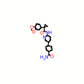 NC(=O)c1ccc(-c2ccc(NC(=O)C3(c4ccc5c(c4)OCO5)CC3)nc2)cc1